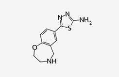 Nc1nnc(-c2ccc3c(c2)CNCCO3)s1